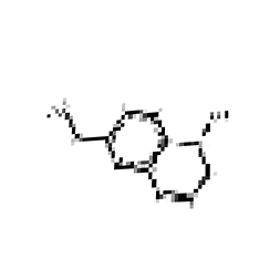 CC(=O)OCc1ccc2c(c1)C=CCN2O